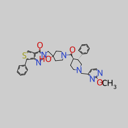 COc1nccc(CN2CC[C@@H](C(=O)N3CCC(O)(Cn4cnc5c(-c6ccccc6)scc5c4=O)CC3)[C@H](c3ccccc3)C2)n1